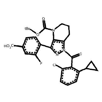 CC(C)(C)OC(=O)N1CCCc2c1c(-c1ccc(C(=O)O)cc1F)nn2C(=O)c1c(Cl)cccc1C1CC1